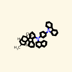 C[C@H]1C[C@@H]2C[C@H](C1)C1(c3ccccc3-c3c(N(c4ccc(-n5c6ccccc6c6ccccc65)cc4)c4cccc5ccccc45)cccc31)[C@H](C)C2